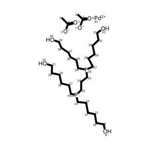 CC(=O)[O-].CC(=O)[O-].OCCCCCCP(CCCCCCO)CCCP(CCCCCCO)CCCCCCO.[Pd+2]